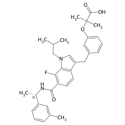 Cc1cccc([C@H](C)NC(=O)c2ccc3c(Cc4cccc(OC(C)(C)C(=O)O)c4)cn(CC(C)C)c3c2F)c1